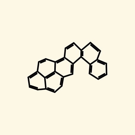 c1ccc2c(c1)ccc1ccc3c(cc4ccc5cccc6ccc3c4c56)c12